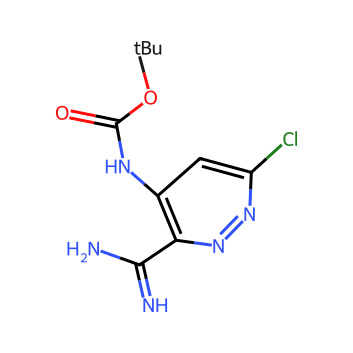 CC(C)(C)OC(=O)Nc1cc(Cl)nnc1C(=N)N